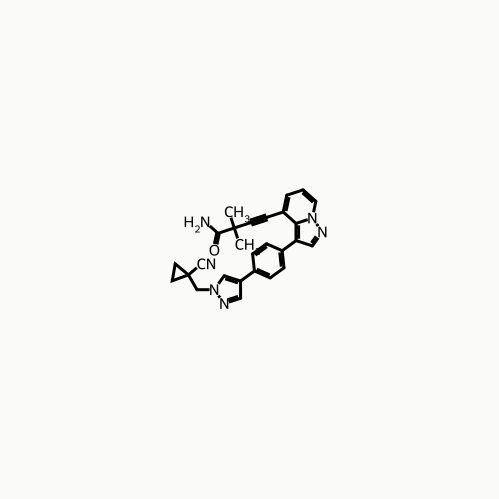 CC(C)(C#Cc1cccn2ncc(-c3ccc(-c4cnn(CC5(C#N)CC5)c4)cc3)c12)C(N)=O